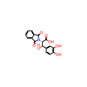 O=C(O)[C@H]([C@H](O)c1ccc(O)c(O)c1)N1C(=O)c2ccccc2C1=O